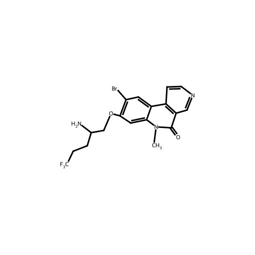 Cn1c(=O)c2cnccc2c2cc(Br)c(OCC(N)CCC(F)(F)F)cc21